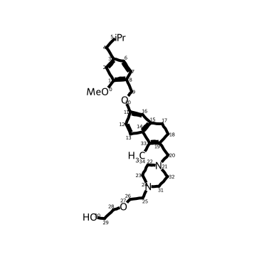 COc1cc(CC(C)C)ccc1COc1ccc2c(c1)CCC(CN1CCN(CCOCCO)CC1)=C2C